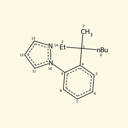 CCCCC(C)(CC)c1ccccc1-n1cccn1